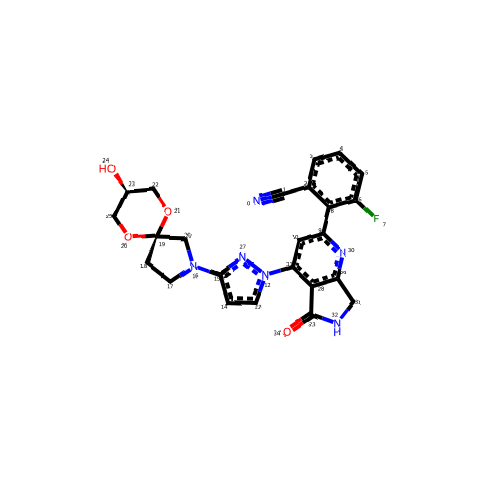 N#Cc1cccc(F)c1-c1cc(-n2ccc(N3CC[C@]4(C3)OC[C@H](O)CO4)n2)c2c(n1)CNC2=O